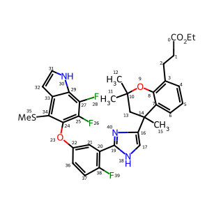 CCOC(=O)CCc1cccc2c1OC(C)(C)CC2(C)c1c[nH]c(-c2cc(Oc3c(F)c(F)c4[nH]ccc4c3SC)ccc2F)n1